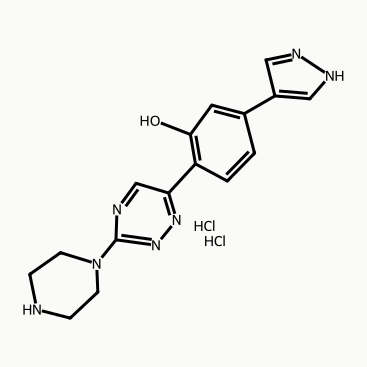 Cl.Cl.Oc1cc(-c2cn[nH]c2)ccc1-c1cnc(N2CCNCC2)nn1